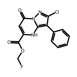 O=C(OCF)c1cc(=O)n2nc(Cl)c(-c3ccccc3)c2[nH]1